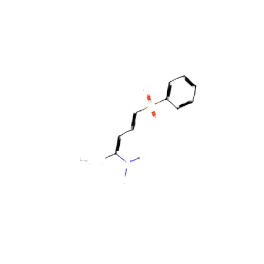 CCN(CC)C(=CC=CS(=O)(=O)c1ccccc1)C(=O)O